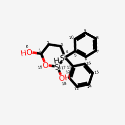 OC1CC[Si](c2ccccc2)(c2ccccc2)[SiH](O)O1